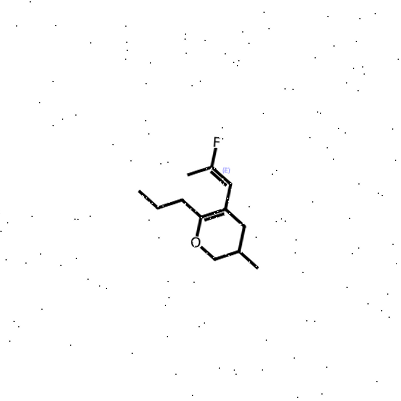 CCCC1=C(/C=C(\C)F)CC(C)CO1